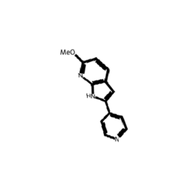 COc1ccc2cc(-c3ccncc3)[nH]c2n1